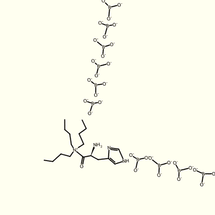 CCCC[N+](CCCC)(CCCC)C(=O)[C@@H](N)Cc1c[nH]cn1.[O-]B([O-])[O-].[O-]B([O-])[O-].[O-]B([O-])[O-].[O-]B([O-])[O-].[O-]B([O-])[O-].[O-]B([O-])[O-].[O-]B([O-])[O-].[O-]B([O-])[O-].[O-]B([O-])[O-].[O-]B([O-])[O-]